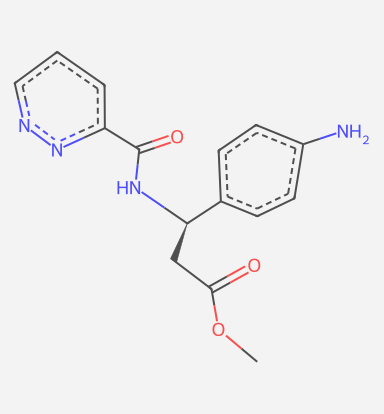 COC(=O)C[C@@H](NC(=O)c1cccnn1)c1ccc(N)cc1